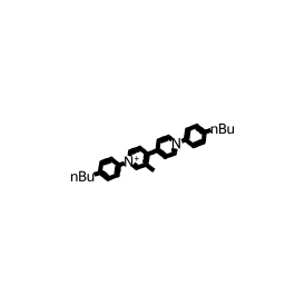 CCCCc1ccc(-[n+]2ccc(-c3cc[n+](-c4ccc(CCCC)cc4)cc3C)cc2)cc1